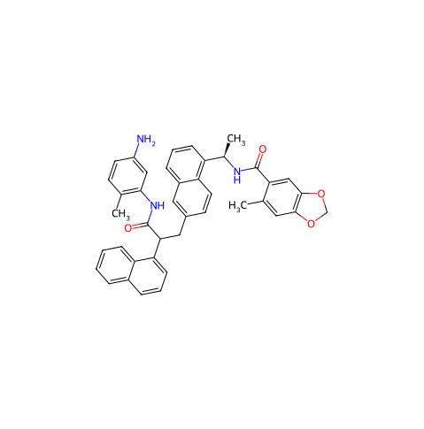 Cc1ccc(N)cc1NC(=O)C(Cc1ccc2c([C@@H](C)NC(=O)c3cc4c(cc3C)OCO4)cccc2c1)c1cccc2ccccc12